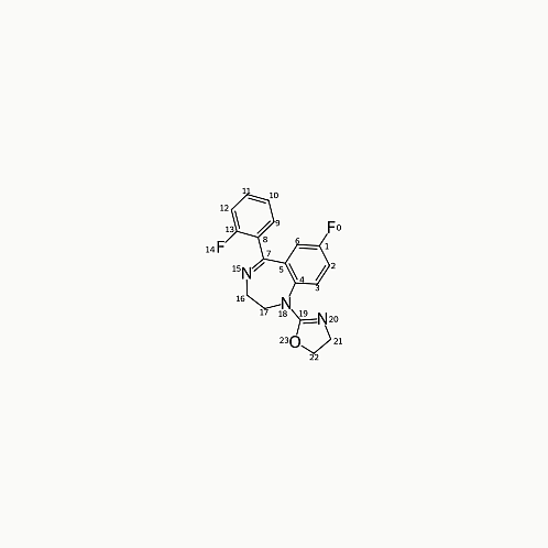 Fc1ccc2c(c1)C(c1ccccc1F)=NCCN2C1=NCCO1